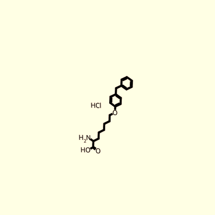 Cl.NC(CCCCCCOc1ccc(Cc2ccccc2)cc1)C(=O)O